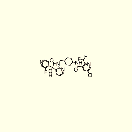 O=C(NC1CCC(CN2C(=O)C(O)(c3ccncc3F)c3cccnc32)CC1)c1cc(Cl)cnc1C(F)F